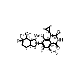 COc1c(N2CC3CCC(F)(F)C(O)C3C2)c(F)c(N)c2c(=O)[nH]c(=O)n(C3CC3)c12